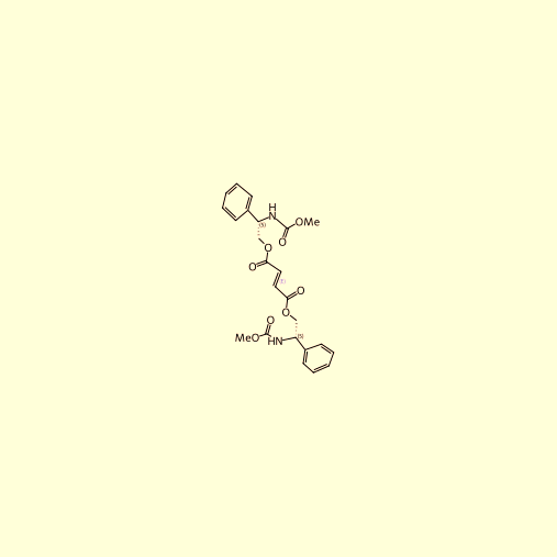 COC(=O)N[C@H](COC(=O)/C=C/C(=O)OC[C@@H](NC(=O)OC)c1ccccc1)c1ccccc1